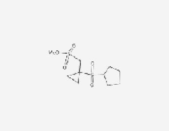 COS(=O)(=O)CC1(S(=O)(=O)C2CCCC2)CC1